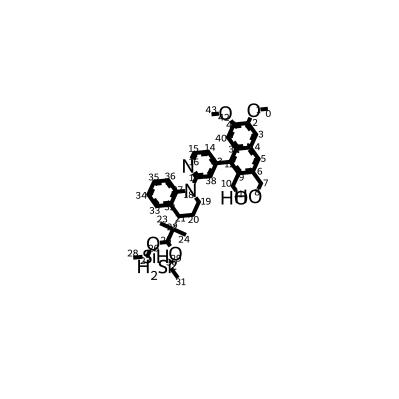 COc1cc2cc(CO)c(CO)c(-c3ccnc(N4CC[C@H](C(C)(C)C(O[SiH2]C)O[SiH2]C)c5ccccc54)c3)c2cc1OC